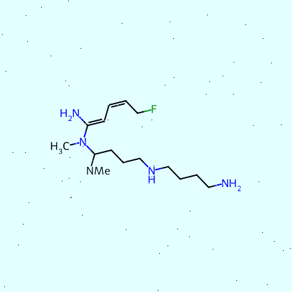 CNC(CCCNCCCCN)N(C)/C(N)=C/C=C\CF